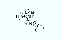 CN(C)CC(=O)N1CCO[C@@H](CNc2c([N+](=O)[O-])cccc2S(N)(=O)=O)C1